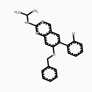 CC(C)Nc1ncc2cc(-c3ccccc3Cl)c(OCc3ccccc3)cc2n1